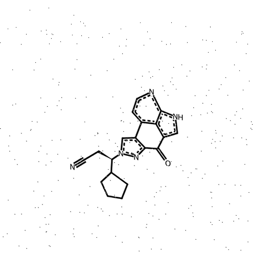 N#CC[C@H](C1CCCC1)n1cc2c(n1)C(=O)c1c[nH]c3nccc-2c13